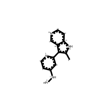 CCCNc1ccnc(-c2c(C)[nH]c3ccncc23)c1